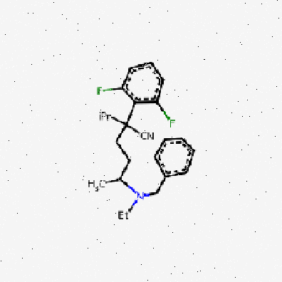 CCN(Cc1ccccc1)C(C)CCC(C#N)(c1c(F)cccc1F)C(C)C